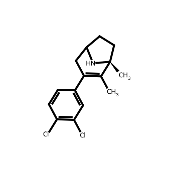 CC1=C(c2ccc(Cl)c(Cl)c2)CC2CC[C@@]1(C)N2